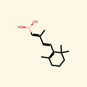 CC1=C(/C=C/C(C)=C/B(O)O)C(C)(C)CCC1